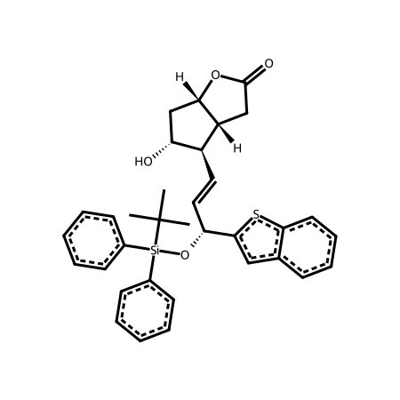 CC(C)(C)[Si](O[C@H](/C=C/[C@@H]1[C@H]2CC(=O)O[C@H]2C[C@H]1O)c1cc2ccccc2s1)(c1ccccc1)c1ccccc1